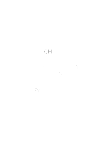 [CH2]CCCC(C)OC(C)C